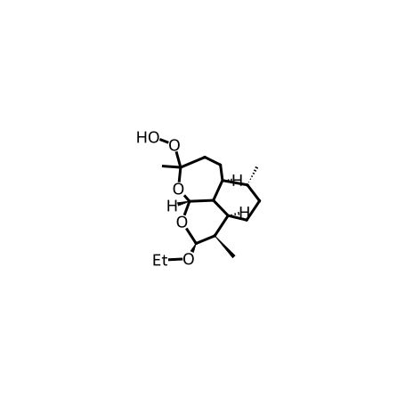 CCO[C@H]1O[C@@H]2OC(C)(OO)CC[C@@H]3C2[C@@H](CC[C@H]3C)[C@H]1C